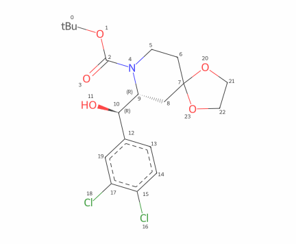 CC(C)(C)OC(=O)N1CCC2(C[C@@H]1[C@H](O)c1ccc(Cl)c(Cl)c1)OCCO2